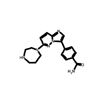 NC(=O)c1ccc(-c2cnc3ccc(N4CCCNCC4)nn23)cc1